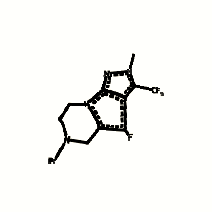 CC(C)N1CCn2c(c(F)c3c(C(F)(F)F)n(C)nc32)C1